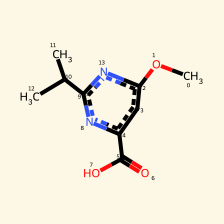 COc1cc(C(=O)O)nc(C(C)C)n1